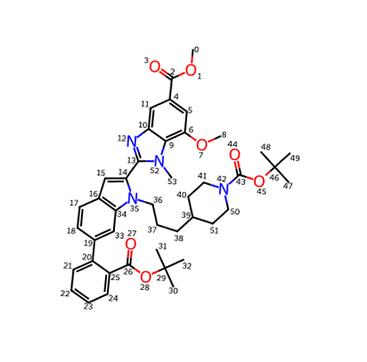 COC(=O)c1cc(OC)c2c(c1)nc(-c1cc3ccc(-c4ccccc4C(=O)OC(C)(C)C)cc3n1CCCC1CCN(C(=O)OC(C)(C)C)CC1)n2C